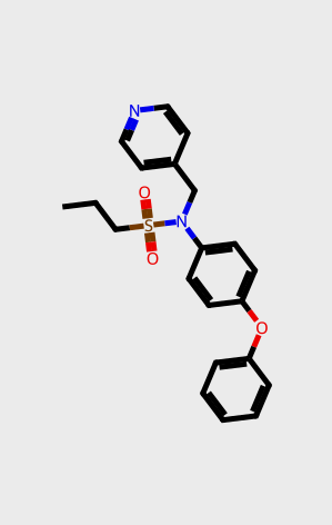 CCCS(=O)(=O)N(Cc1ccncc1)c1ccc(Oc2ccccc2)cc1